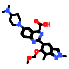 COCOc1c(-c2nc(C(=O)O)c3cc(N4CCC(N(C)C)CC4)ccc3n2)cc2cn(C)nc2c1C